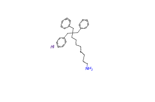 I.NCCCCCCCCC(Cc1ccccc1)(Cc1ccccc1)Cc1ccccc1